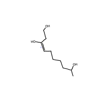 CC(O)CCCC/C=C(/O)CCO